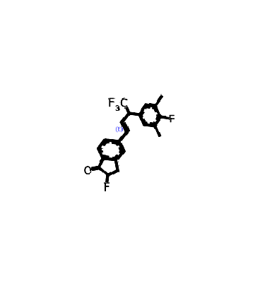 Cc1cc(C(/C=C/c2ccc3c(c2)CC(F)C3=O)C(F)(F)F)cc(C)c1F